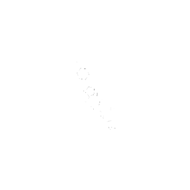 COC(=O)N[C@H](C(=O)N1CCCC[C@H]1c1nc(-c2ccc(Br)cc2)c[nH]1)C(C)C